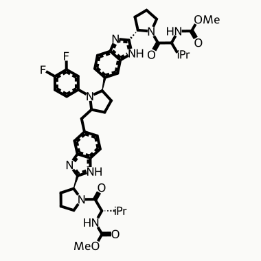 COC(=O)NC(C(=O)N1CCC[C@H]1c1nc2ccc([C@H]3CCC(Cc4ccc5[nH]c([C@@H]6CCCN6C(=O)[C@@H](NC(=O)OC)C(C)C)nc5c4)N3c3ccc(F)c(F)c3)cc2[nH]1)C(C)C